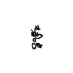 Cc1nc2c(OCc3ccccc3Br)cccn2c1CN(C)C